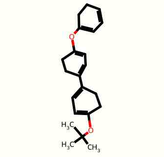 CC(C)(C)OC1=CC=C(C2=CC=C(OC3=CC=CCC3)CC2)CC1